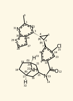 Cc1nc([C@@H]2C[C@H]2c2ccc(C(=O)N(C)C3C[C@H]4CC[C@@H](C3)N4)cc2Cl)c2ccsc2n1